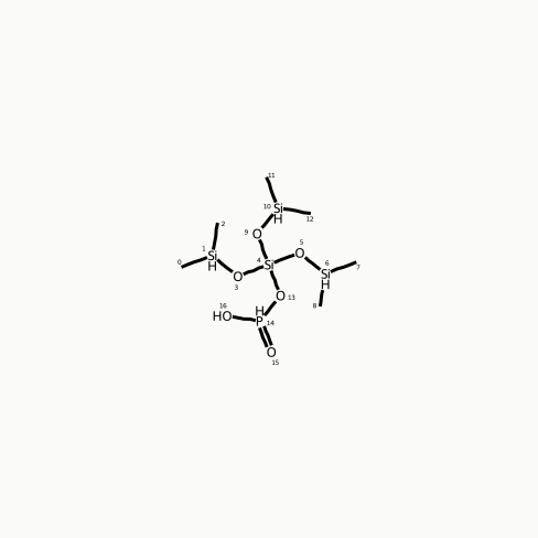 C[SiH](C)O[Si](O[SiH](C)C)(O[SiH](C)C)O[PH](=O)O